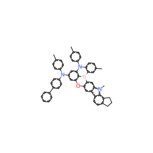 Cc1ccc(N(c2ccc(-c3ccccc3)cc2)c2cc3c4c(c2)N(c2ccc(C)cc2)c2ccc(C)cc2B4c2cc4c(cc2O3)c2ccc3c(c2n4C)CCC3)cc1